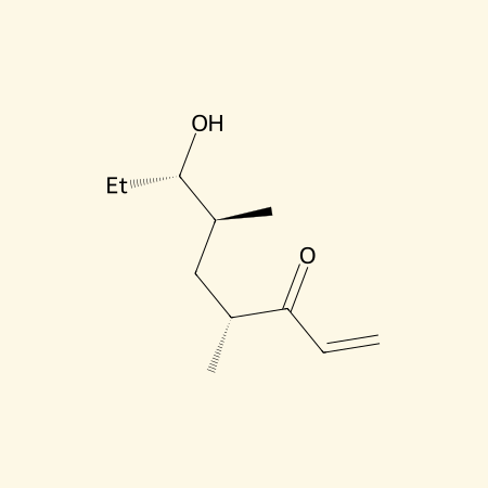 C=CC(=O)[C@H](C)C[C@H](C)[C@@H](O)CC